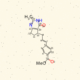 COC(=O)c1ccc(/C=C/CC2CCc3nc(C)[nH]c(=O)c32)cc1